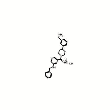 Cl.Cl.Cl.NCc1cccc(C2CCN(C(=O)c3cncc(NCc4ccccc4)c3)CC2)c1